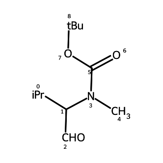 CC(C)C(C=O)N(C)C(=O)OC(C)(C)C